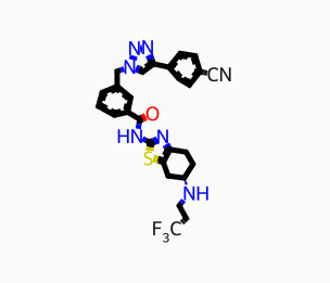 N#Cc1ccc(-c2cn(Cc3cccc(C(=O)Nc4nc5c(s4)C[C@@H](NCCC(F)(F)F)CC5)c3)nn2)cc1